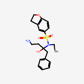 CC(C)(C)CN(C(O)(CCN)Cc1ccccc1)S(=O)(=O)c1ccc2c(c1)CCO2